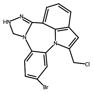 ClCc1cc2cccc3c4n(c5ccc(Br)cc5n1c23)CNN=4